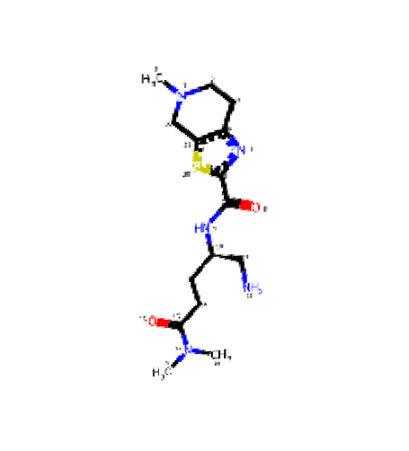 CN1CCc2nc(C(=O)N[C@@H](CN)CCC(=O)N(C)C)sc2C1